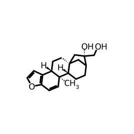 C[C@]12C=Cc3occc3[C@@H]1CC[C@]13CC(CC[C@@H]12)[C@](O)(CO)C3